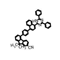 CC1(C)c2cc(C#N)ccc2-c2c(-c3ccc(-c4ccc(C5N=C(c6ccccc6)N=C(c6ccccc6)N5)c5ccccc45)cc3)cccc21